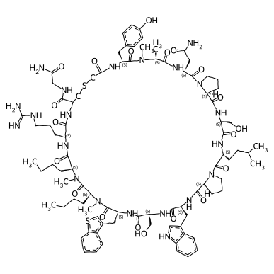 CCCC[C@H]1C(=O)N(C)[C@@H](CCCC)C(=O)N[C@@H](CCCNC(=N)N)C(=O)NC(C(=O)NCC(N)=O)CSCC(=O)N[C@@H](Cc2ccc(O)cc2)C(=O)N(C)[C@@H](C)C(=O)N[C@@H](CC(N)=O)C(=O)N2CCC[C@H]2C(=O)N[C@@H](CO)C(=O)N[C@@H](CCC(C)C)C(=O)N2CCC[C@H]2C(=O)N[C@@H](Cc2c[nH]c3ccccc23)C(=O)N[C@@H](CO)C(=O)N[C@@H](Cc2csc3ccccc23)C(=O)N1C